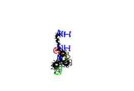 N=C/C=C\C=C\CCNC(=O)c1ccc2c(c1)N=C(c1cccc(Cl)c1)c1ccccc1S2